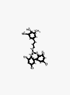 CCc1cc(CC)c2op(OCCCc3cc(C)c(O)c(C(C)(C)C)c3)oc3c(CC)cc(CC)cc3c2c1